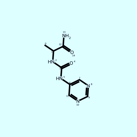 CC(NC(=O)Nc1cncnc1)C(N)=O